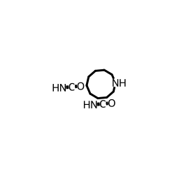 C1CCCCNCCCC1.N=C=O.N=C=O